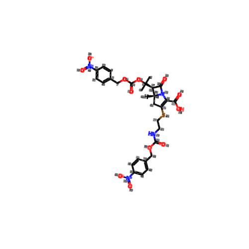 CC(C)(OC(=O)OCc1ccc([N+](=O)[O-])cc1)[C@H]1C(=O)N2C(C(=O)O)=C(SCCNC(=O)OCc3ccc([N+](=O)[O-])cc3)C[C@H]12